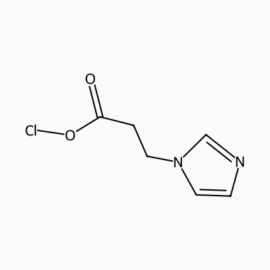 O=C(CCn1ccnc1)OCl